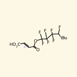 CC(C)(C)C(F)C(F)(F)C(F)(F)C(F)(F)OC(=O)/C=C/C(=O)O